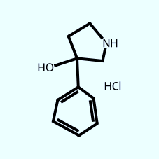 Cl.OC1(c2ccccc2)CCNC1